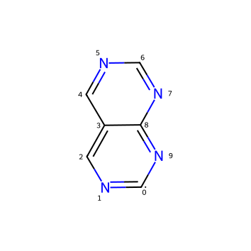 [c]1ncc2cncnc2n1